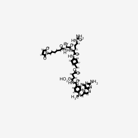 CC(C)[C@H](NC(=O)CCCCCN1C(=O)C=CC1=O)C(=O)N[C@@H](CCCNC(N)=O)C(=O)Nc1ccc(COC(=O)CC[C@H](NC(=O)c2ccc(N(C)Cc3cnc4nc(N)nc(N)c4n3)cc2)C(=O)O)cc1